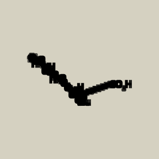 CC(C)(C)OC(=O)C(CCC(=O)NCCOCCOCC(=O)NCCOCCOCC(=O)NCCNC(=O)OCc1ccccc1)NC(=O)CCCCCCCCCCCCCCCS(=O)(=O)O